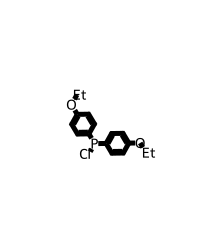 CCOc1ccc(P(Cl)c2ccc(OCC)cc2)cc1